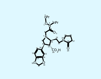 CCCON(CCC)C(=O)CN1C[C@H](c2ccc3c(c2)OCO3)[C@@H](C(=O)O)[C@@H]1CCN1CCCC1=O